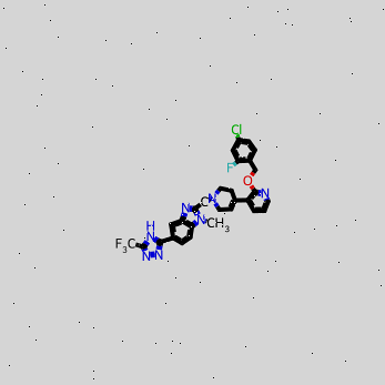 Cn1c(CN2CC=C(c3cccnc3OCc3ccc(Cl)cc3F)CC2)nc2cc(-c3nnc(C(F)(F)F)[nH]3)ccc21